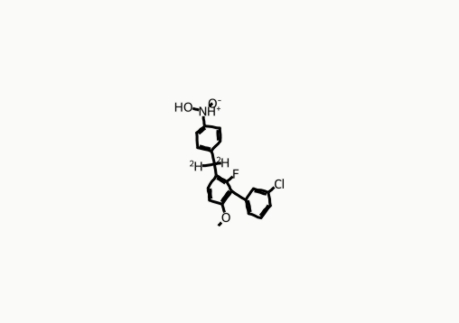 [2H]C([2H])(c1ccc([NH+]([O-])O)cc1)c1ccc(OC)c(-c2cccc(Cl)c2)c1F